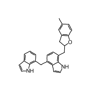 Cc1ccc2c(c1)CC(Cc1ccc(Cc3cccc4cc[nH]c34)c3cc[nH]c13)O2